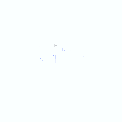 CC(Nc1nnc(-c2ccccn2)o1)C(=O)N1CCC2(CC1)CC2